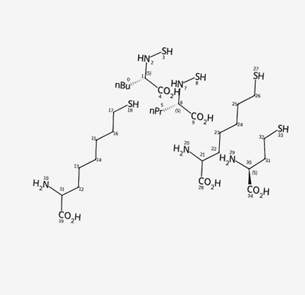 CCCC[C@H](NS)C(=O)O.CCC[C@H](NS)C(=O)O.NC(CCCCCCS)C(=O)O.NC(CCCCCS)C(=O)O.N[C@@H](CCS)C(=O)O